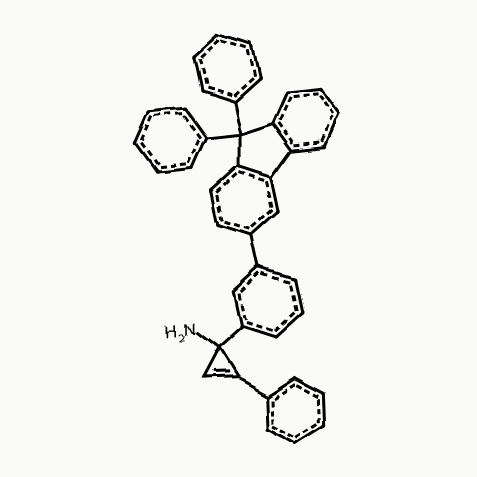 NC1(c2cccc(-c3ccc4c(c3)-c3ccccc3C4(c3ccccc3)c3ccccc3)c2)C=C1c1ccccc1